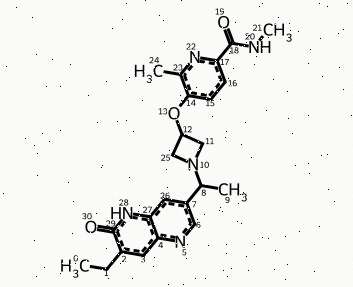 CCc1cc2ncc(C(C)N3CC(Oc4ccc(C(=O)NC)nc4C)C3)cc2[nH]c1=O